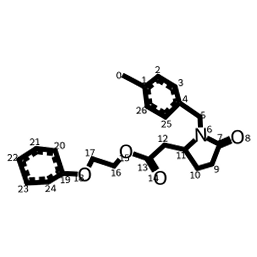 Cc1ccc(CN2C(=O)CCC2CC(=O)OCCOc2ccccc2)cc1